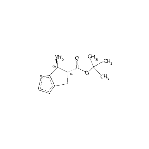 CC(C)(C)OC(=O)[C@@H]1Cc2ccsc2[C@H]1N